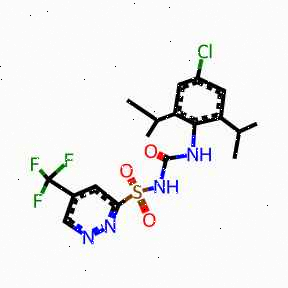 CC(C)c1cc(Cl)cc(C(C)C)c1NC(=O)NS(=O)(=O)c1cc(C(F)(F)F)cnn1